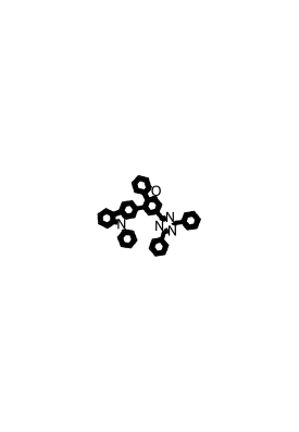 c1ccc(-c2nc(-c3ccccc3)nc(-c3cc(-c4ccc5c6ccccc6n(-c6ccccc6)c5c4)c4c(c3)oc3ccccc34)n2)cc1